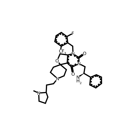 CN1CCCC1CCN1CCC2(CC1)OCc1c2c(=O)n(C[C@H](N)c2ccccc2)c(=O)n1Cc1c(F)cccc1C(F)(F)F